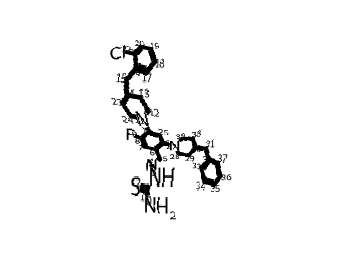 NC(=S)N/N=C/c1cc(F)c(N2CCC(Cc3ccccc3Cl)CC2)cc1N1CCC(Cc2ccccc2)CC1